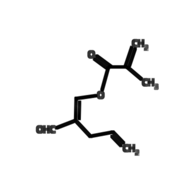 C=CCC(C=O)=COC(=O)C(=C)C